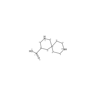 O=C(O)C1CNCC2(CCNCC2)C1